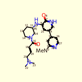 CNc1cc(-c2c[nH]c(=O)c(N[C@@H]3CCCN(C(=O)C=CCN(C)C)C3)c2)ccn1